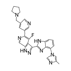 Cc1cn(-c2cccc3[nH]c(-c4n[nH]c5cnc(-c6cncc(CN7CCCC7)c6)c(F)c45)nc23)cn1